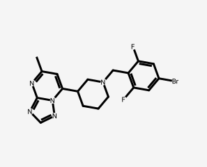 Cc1cc(C2CCCN(Cc3c(F)cc(Br)cc3F)C2)n2ncnc2n1